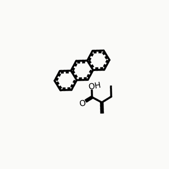 C=C(CC)C(=O)O.c1ccc2cc3ccccc3cc2c1